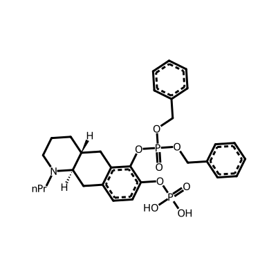 CCCN1CCC[C@@H]2Cc3c(ccc(OP(=O)(O)O)c3OP(=O)(OCc3ccccc3)OCc3ccccc3)C[C@H]21